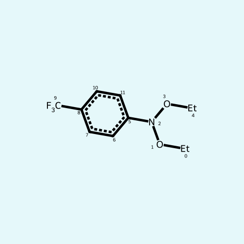 CCON(OCC)c1ccc(C(F)(F)F)cc1